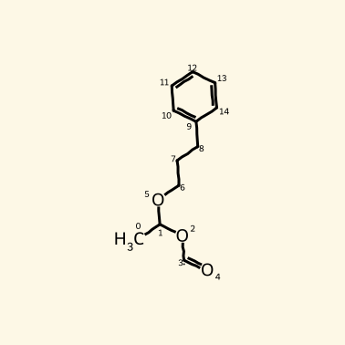 CC(O[C]=O)OCCCc1ccccc1